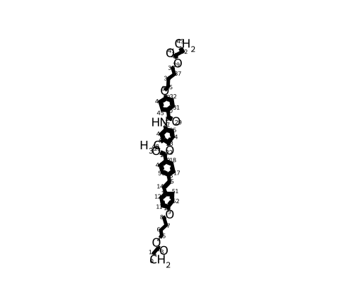 C=CC(=O)OCCCCOc1ccc(/C=C/c2ccc(C(=O)Oc3ccc(NC(=O)c4ccc(OCCCCOC(=O)C=C)cc4)cc3C)cc2)cc1